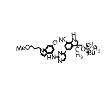 COCCCn1ccc2c(Nc3nccc(-c4cc(C#N)c5c(c4)C(C)(CO[Si](C)(C)C(C)(C)C)CN5)n3)cc(Cl)cc21